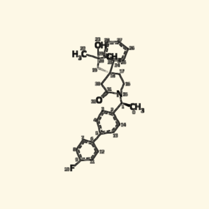 C[C@@H](c1ccc(-c2ccc(F)cc2)cc1)N1CC[C@](CC(C)(C)O)(c2ccccc2)CC1=O